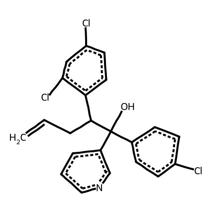 C=CCC(c1ccc(Cl)cc1Cl)C(O)(c1ccc(Cl)cc1)c1cccnc1